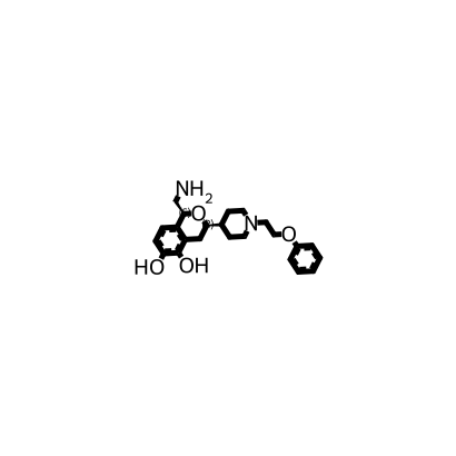 NC[C@H]1O[C@@H](C2CCN(CCOc3ccccc3)CC2)Cc2c1ccc(O)c2O